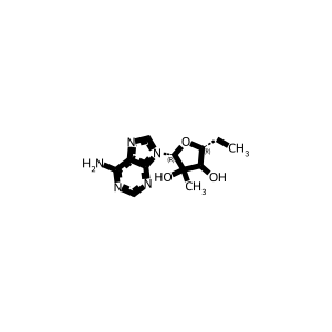 CC[C@H]1O[C@@H](n2cnc3c(N)ncnc32)C(C)(O)C1O